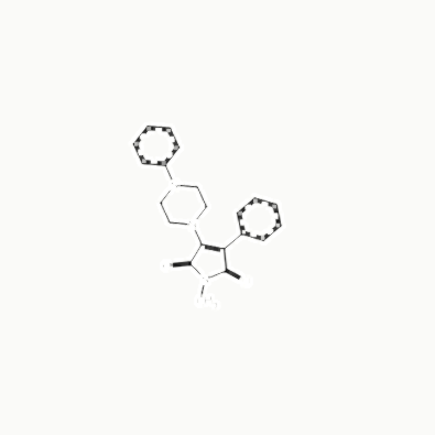 CN1C(=O)C(c2ccccc2)=C(N2CCN(c3ccccc3)CC2)C1=O